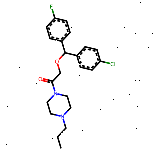 CCCN1CCN(C(=O)COC(c2ccc(F)cc2)c2ccc(Cl)cc2)CC1